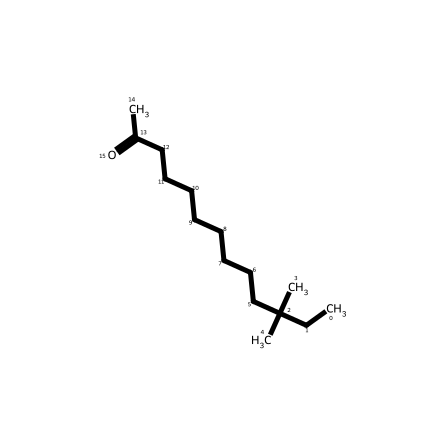 CCC(C)(C)CCCCCCCCC(C)=O